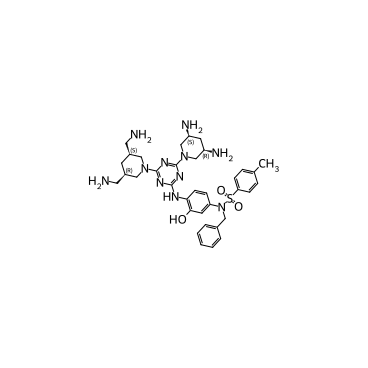 Cc1ccc(S(=O)(=O)N(Cc2ccccc2)c2ccc(Nc3nc(N4C[C@H](N)C[C@H](N)C4)nc(N4C[C@H](CN)C[C@H](CN)C4)n3)c(O)c2)cc1